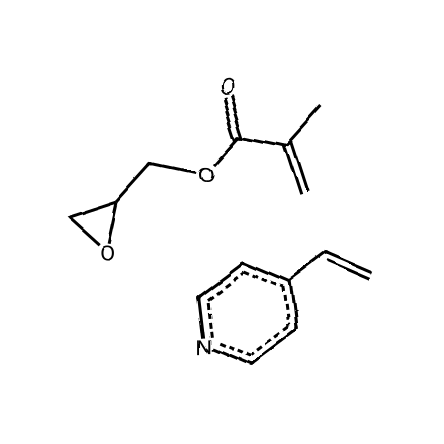 C=C(C)C(=O)OCC1CO1.C=Cc1ccncc1